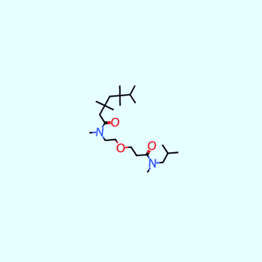 CC(C)CN(C)C(=O)CCOCCN(C)C(=O)CC(C)(C)CC(C)(C)C(C)C